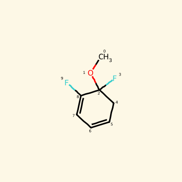 COC1(F)CC=CC=C1F